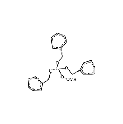 COO[Si](OCc1ccccc1)(OCc1ccccc1)OCc1ccccc1